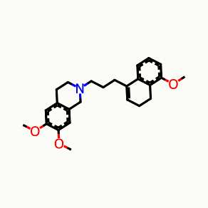 COc1cc2c(cc1OC)CN(CCCC1=CCCc3c(OC)cccc31)CC2